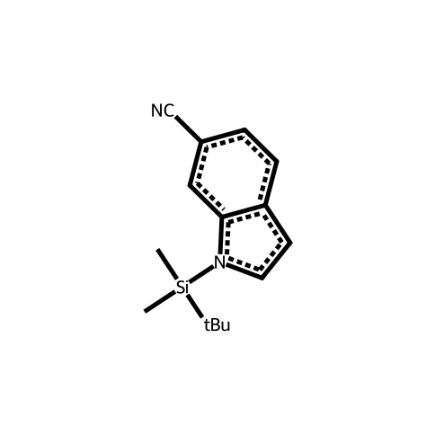 CC(C)(C)[Si](C)(C)n1ccc2ccc(C#N)cc21